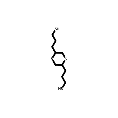 SCCCC1CSC(CCCS)CS1